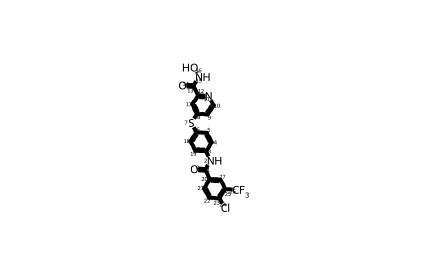 O=C(Nc1ccc(Sc2ccnc(C(=O)NO)c2)cc1)c1ccc(Cl)c(C(F)(F)F)c1